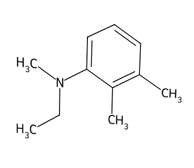 CCN(C)c1cccc(C)c1C